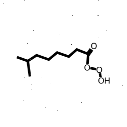 CC(C)CCCCCC(=O)OOO